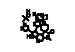 CN1C(=O)C2(CCN(C3(CC#N)CCC3)CC2)c2c1cnc1[nH]c(-c3cnn(CC(C)(C)O)c3)c(-c3cc4cnccc4s3)c21